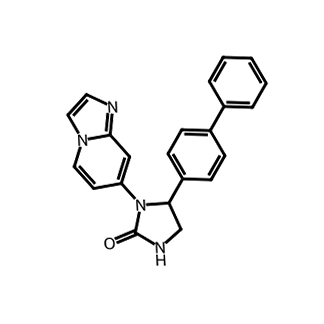 O=C1NCC(c2ccc(-c3ccccc3)cc2)N1c1ccn2ccnc2c1